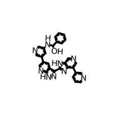 OC(Nc1cncc(-c2cnc3[nH]nc(-c4nc5c(-c6cccnc6)cncc5[nH]4)c3c2)c1)c1ccccc1